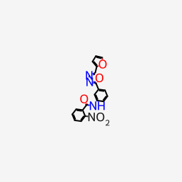 O=C(Nc1cccc(-c2nnc(-c3ccco3)o2)c1)c1ccccc1[N+](=O)[O-]